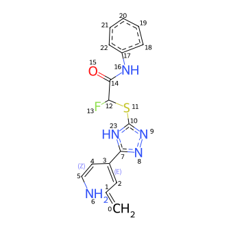 C=C/C=C(\C=C/N)c1nnc(SC(F)C(=O)Nc2ccccc2)[nH]1